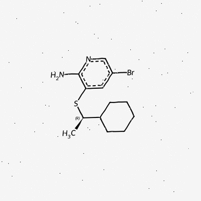 C[C@@H](Sc1cc(Br)cnc1N)C1CCCCC1